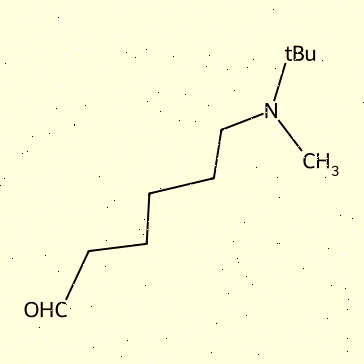 CN(CCCCCC=O)C(C)(C)C